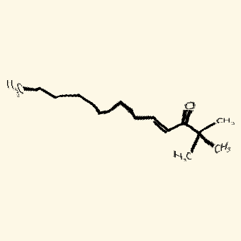 CCCCCCCC=CC(=O)C(C)(C)C